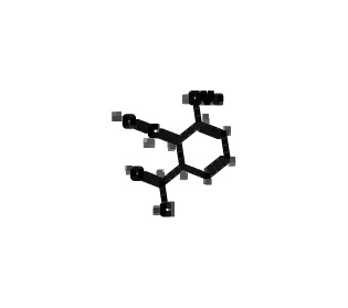 COC1=CC=CC(C(=O)Cl)C1=C=O